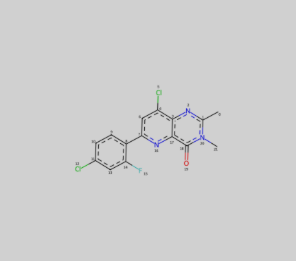 Cc1nc2c(Cl)cc(-c3ccc(Cl)cc3F)nc2c(=O)n1C